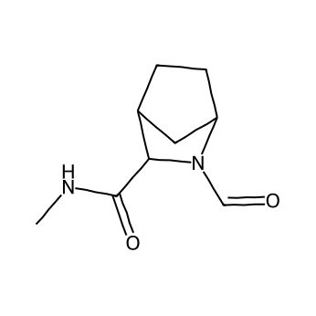 CNC(=O)C1C2CCC(C2)N1C=O